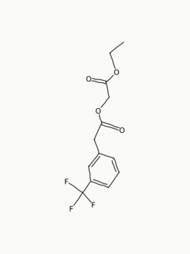 CCOC(=O)COC(=O)Cc1cccc(C(F)(F)F)c1